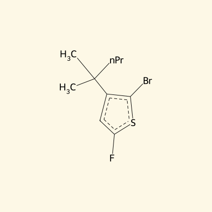 CCCC(C)(C)c1cc(F)sc1Br